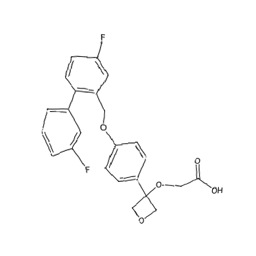 O=C(O)COC1(c2ccc(OCc3cc(F)ccc3-c3cccc(F)c3)cc2)COC1